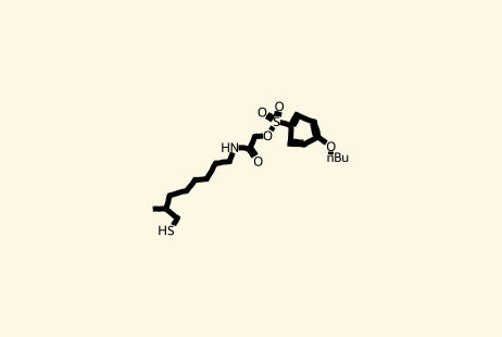 CCCCOc1ccc(S(=O)(=O)OCC(=O)NCCCCCCC(C)CS)cc1